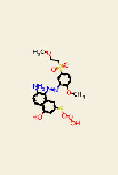 COCCS(=O)(=O)c1ccc(OC)c(N=Nc2c(N)ccc3c(O)cc(SOOO)cc23)c1